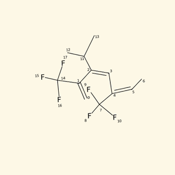 C=C(/C(=C\C(=C/C)C(F)(F)F)C(C)C)C(F)(F)F